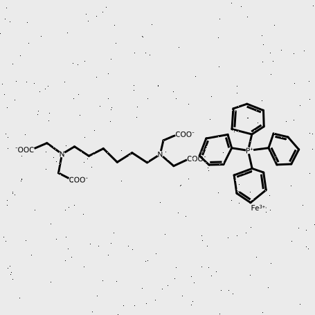 O=C([O-])CN(CCCCCCN(CC(=O)[O-])CC(=O)[O-])CC(=O)[O-].[Fe+3].c1ccc([P+](c2ccccc2)(c2ccccc2)c2ccccc2)cc1